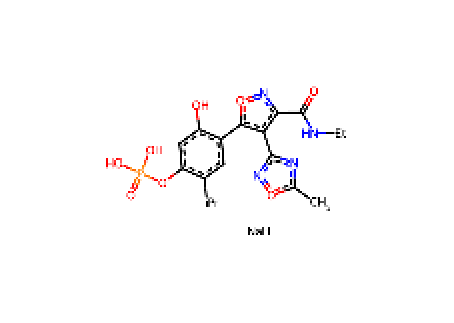 CCNC(=O)c1noc(-c2cc(C(C)C)c(OP(=O)(O)O)cc2O)c1-c1noc(C)n1.[NaH]